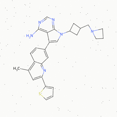 Cc1cc(-c2cccs2)nc2cc(-c3cn(C4CC(CN5CCC5)C4)c4ncnc(N)c34)ccc12